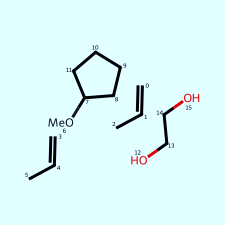 C=CC.C=CC.COC1CCCC1.OCCO